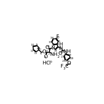 Cl.NC(C(=O)OCc1ccccc1)C(=O)n1cc(NC(=O)Nc2ccc(OC(F)(F)F)cc2)c2cc(F)ccc21